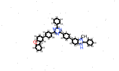 CN1c2cc(-c3ccc(-c4nc(-c5ccccc5)nc(-c5ccc(-c6ccc7oc8ccccc8c7c6)cc5)n4)cc3)ccc2NC1c1ccccc1